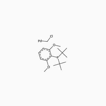 COc1cccc(OC)c1P(C(C)(C)C)C(C)(C)C.Cl[CH2][Pd]